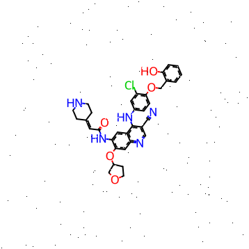 N#Cc1cnc2cc(OC3CCOC3)c(NC(=O)C=C3CCNCC3)cc2c1Nc1ccc(OCc2ccccc2O)c(Cl)c1